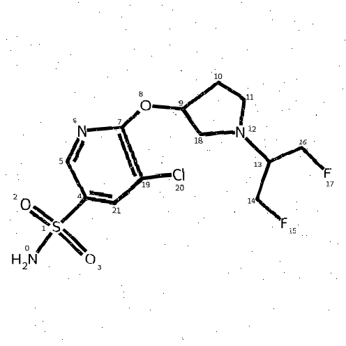 NS(=O)(=O)c1cnc(OC2CCN(C(CF)CF)C2)c(Cl)c1